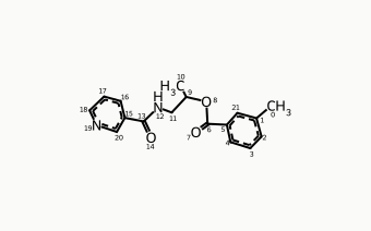 Cc1cccc(C(=O)OC(C)CNC(=O)c2cccnc2)c1